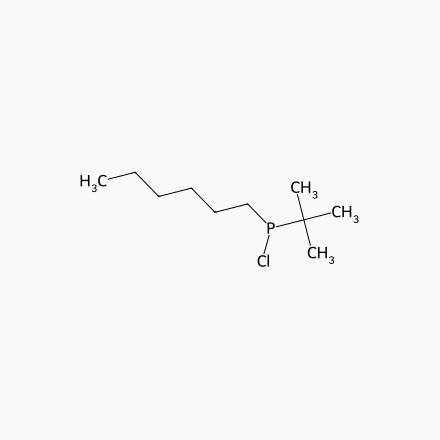 CCCCCCP(Cl)C(C)(C)C